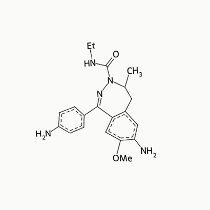 CCNC(=O)N1N=C(c2ccc(N)cc2)c2cc(OC)c(N)cc2CC1C